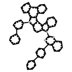 c1ccc(-c2ccc(-c3nc(-n4c5ccccc5c5c6c7c8ccccc8c8ccccc8c7n(-c7cccc(-c8ccccc8)c7)c6ccc54)nc4ccccc34)cc2)cc1